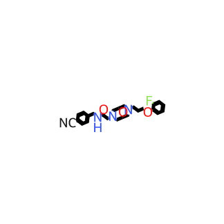 N#Cc1ccc(CNC(=O)CN2CC3CN(CCCOc4ccccc4F)CC(C2)O3)cc1